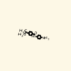 CN(C)c1ccc(C(=O)Nc2ccc(N)cc2)cc1